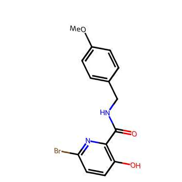 COc1ccc(CNC(=O)c2nc(Br)ccc2O)cc1